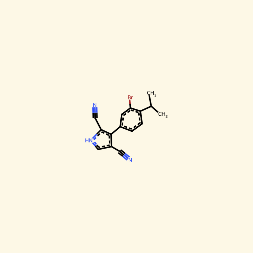 CC(C)c1ccc(-c2c(C#N)c[nH]c2C#N)cc1Br